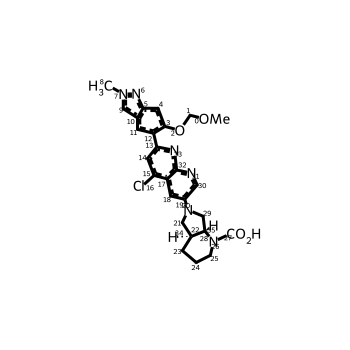 COCOc1cc2nn(C)cc2cc1-c1cc(Cl)c2cc(N3C[C@@H]4CCCN(C(=O)O)[C@@H]4C3)cnc2n1